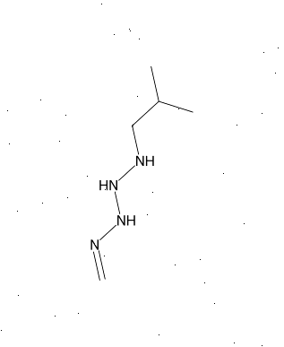 C=NNNNCC(C)C